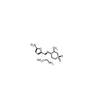 CC1CS(=O)(=O)CCN1N=Cc1ccc([N+](=O)[O-])o1.NCC(=O)O